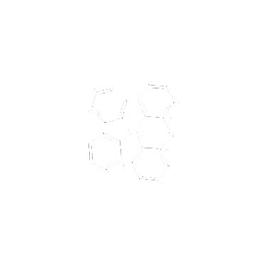 c1cc[c]([Ge]2([c]3ccccc3)[c]3ccccc3Nc3cccc[c]32)cc1